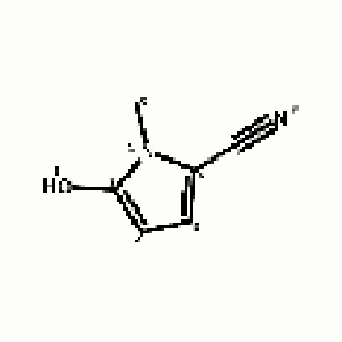 Cn1c(O)ccc1C#N